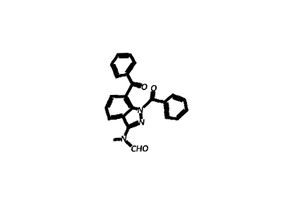 CN(C=O)c1nn(C(=O)c2ccccc2)c2c(C(=O)c3ccccc3)cccc12